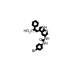 O=C(Nc1ccc(Br)cc1)Nc1cnc2[nH]cc(/C=C(/C(=O)O)c3ccccc3)c2c1